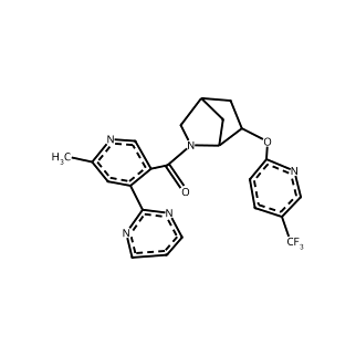 Cc1cc(-c2ncccn2)c(C(=O)N2CC3CC(Oc4ccc(C(F)(F)F)cn4)C2C3)cn1